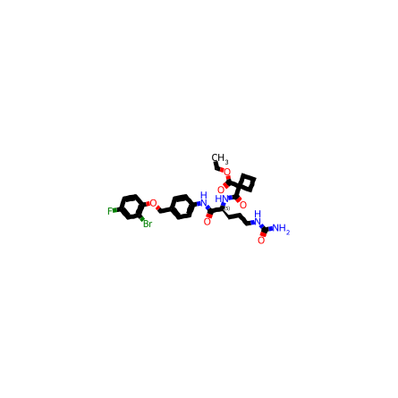 CCOC(=O)C1(C(=O)N[C@@H](CCCNC(N)=O)C(=O)Nc2ccc(COc3ccc(F)cc3Br)cc2)CCC1